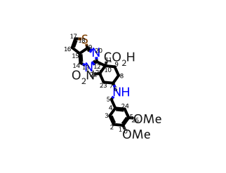 COc1ccc(CNC2CCC(C(=O)O)(c3ncc4ccsc4n3)C([N+](=O)[O-])C2)cc1OC